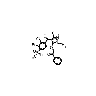 CCc1c(S(C)(=O)=O)ccc(C(=O)c2c(C)nn(C)c2OCC(=O)c2ccccc2)c1Cl